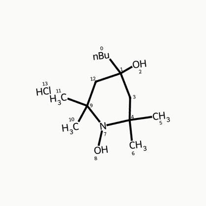 CCCCC1(O)CC(C)(C)N(O)C(C)(C)C1.Cl